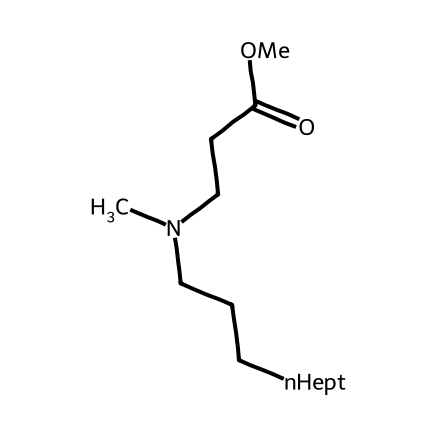 CCCCCCCCCCN(C)CCC(=O)OC